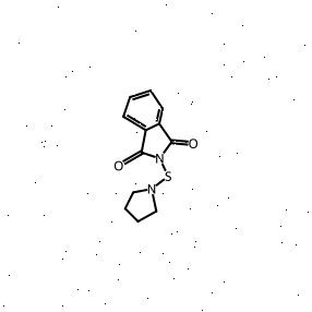 O=C1c2ccccc2C(=O)N1SN1CCCC1